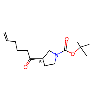 C=CCCCC(=O)[C@@H]1CCN(C(=O)OC(C)(C)C)C1